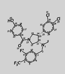 CN(Cc1ccc(C(F)(F)F)c(F)c1)[C@@H]1CN(C(=O)c2ccc(O)nc2)C[C@@H]1c1ccc(Cl)c(Cl)c1